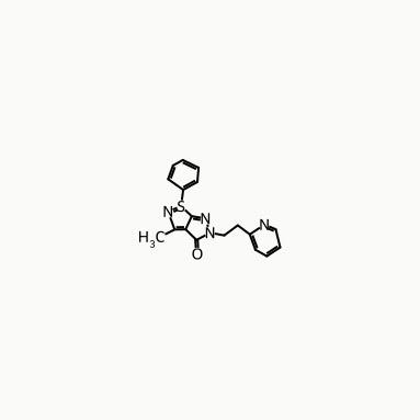 CC1=C2C(=O)N(CCc3ccccn3)N=C2S(c2ccccc2)=N1